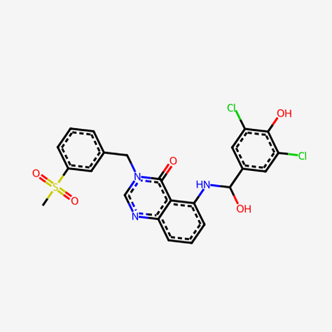 CS(=O)(=O)c1cccc(Cn2cnc3cccc(NC(O)c4cc(Cl)c(O)c(Cl)c4)c3c2=O)c1